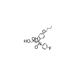 CCCCOc1ccc([C@@H]2[C@@H]([C@H](O)CO)C(=O)N2c2ccc(F)cc2)cc1